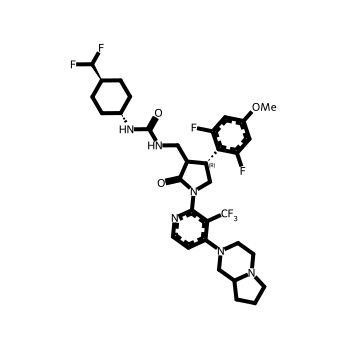 COc1cc(F)c([C@@H]2CN(c3nccc(N4CCN5CCCC5C4)c3C(F)(F)F)C(=O)C2CNC(=O)N[C@H]2CC[C@H](C(F)F)CC2)c(F)c1